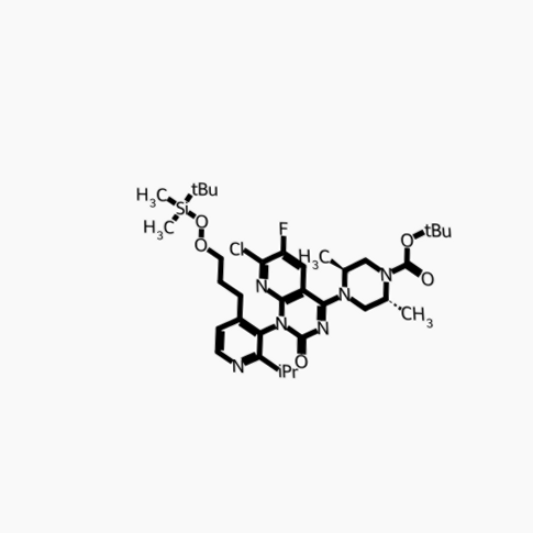 CC(C)c1nccc(CCCOO[Si](C)(C)C(C)(C)C)c1-n1c(=O)nc(N2C[C@@H](C)N(C(=O)OC(C)(C)C)C[C@@H]2C)c2cc(F)c(Cl)nc21